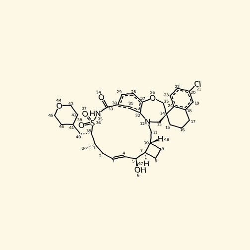 C[C@H]1C/C=C/[C@H](O)[C@@H]2CC[C@H]2CN2C[C@@]3(CCCc4cc(Cl)ccc43)COc3ccc(cc32)C(=O)NS(=O)(=O)[C@H]1CC1CCOCC1